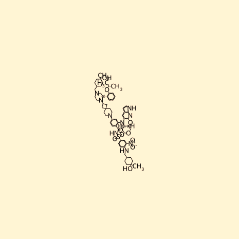 CC(C)Oc1ccccc1[C@H]1CN(CC2CCC(C)(O)CC2)CCN1C1CC2(CCN(c3ccc(C(=O)NS(=O)(=O)c4ccc(NCC5CCC(C)(O)CC5)c([N+](=O)[O-])c4)c(N4c5cc6cc[nH]c6nc5O[C@H]5COCC[C@@H]54)c3)CC2)C1